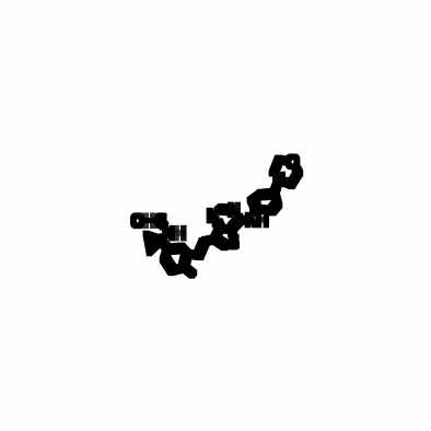 Cc1ccc(C2(NC=O)CC2)cc1/C=C/c1csc2c(Nc3ccc(N4CCOCC4)cc3)ncnc12